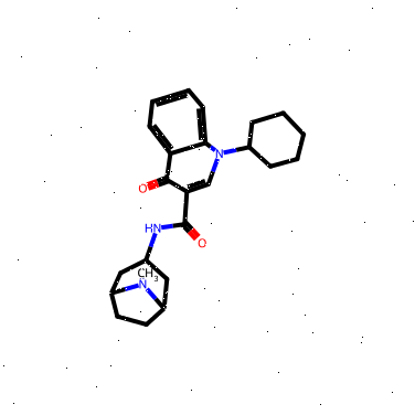 CN1C2CCC1CC(NC(=O)c1cn(C3CCCCC3)c3ccccc3c1=O)C2